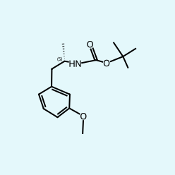 COc1cccc(C[C@H](C)NC(=O)OC(C)(C)C)c1